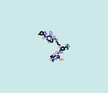 CC(=O)N[C@H](C(=O)N1C[C@H](O)C[C@H]1C(=O)NCc1ccc(-c2scnc2C)cc1OCCCCN(C)C(=O)[C@@H]1CC[C@@H]2CCN(C(=O)c3noc4ccc(C)cc34)C[C@H](N)C(=O)N21)C(C)(C)C